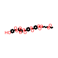 C=CC(=O)OCCCCOC(=O)Oc1ccc(C(=O)Oc2ccc(C(=O)O[C@H]3COC4C3OC[C@H]4OC(=O)c3ccc(O)cc3)cc2)cc1